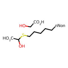 CCCCCCCCCCCCCCSC(O)C(=O)O.O=C(O)CO